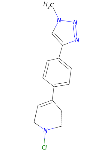 Cn1cc(-c2ccc(C3=CCN(Cl)CC3)cc2)nn1